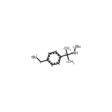 CC(C)(C)Cc1ccc(C(C)(C)NC(C)(C)C)cc1